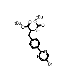 CC(C)(C)OC(=O)NC(Cc1ccc(-c2ncc(Br)cn2)cc1)C(=O)OC(C)(C)C